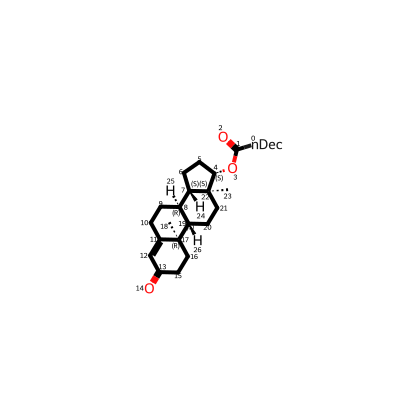 CCCCCCCCCCC(=O)O[C@H]1CC[C@H]2[C@@H]3CCC4=CC(=O)CC[C@]4(C)[C@H]3CC[C@]12C